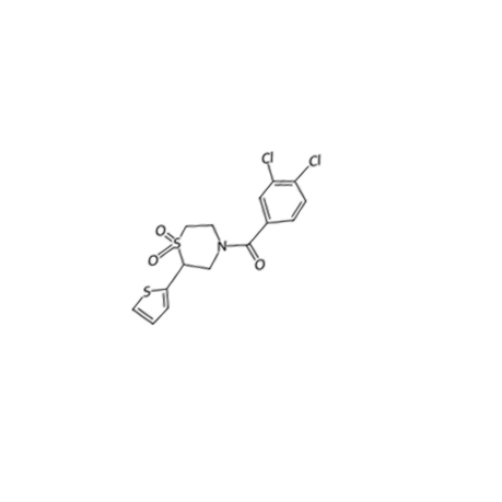 O=C(c1ccc(Cl)c(Cl)c1)N1CCS(=O)(=O)C(c2cccs2)C1